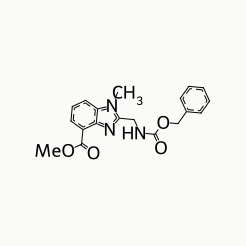 COC(=O)c1cccc2c1nc(CNC(=O)OCc1ccccc1)n2C